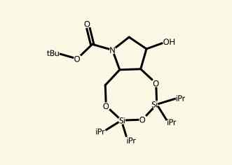 CC(C)[Si]1(C(C)C)OCC2C(O[Si](C(C)C)(C(C)C)O1)C(O)CN2C(=O)OC(C)(C)C